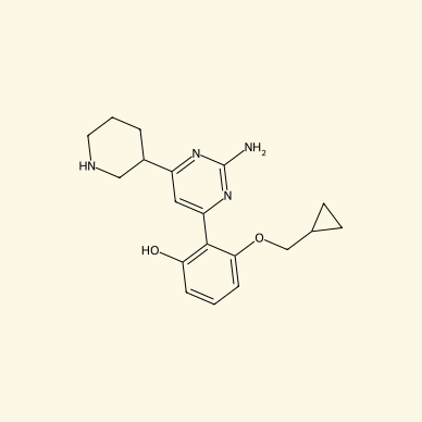 Nc1nc(-c2c(O)cccc2OCC2CC2)cc(C2CCCNC2)n1